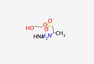 CC(N)CS(=O)(=O)OCCO.[NaH]